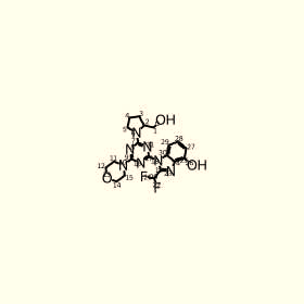 OCC1CCCN1c1nc(N2CCOCC2)nc(-n2c(C(F)F)nc3c(O)cccc32)n1